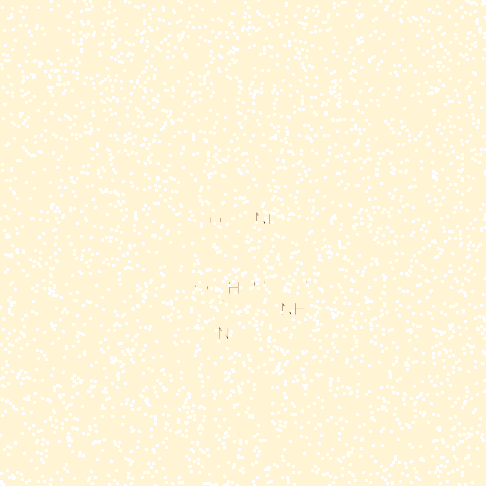 O=C(Cc1ccccc1)NCCS(=O)(=O)Nc1scnc1C(=O)O